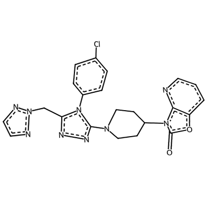 O=c1oc2cccnc2n1C1CCN(c2nnc(Cn3nccn3)n2-c2ccc(Cl)cc2)CC1